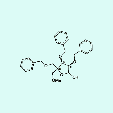 COC[C@]1(COCc2ccccc2)OC(O)[C@H](OCc2ccccc2)[C@@H]1OCc1ccccc1